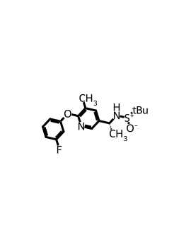 Cc1cc([C@@H](C)N[S+]([O-])C(C)(C)C)cnc1Oc1cccc(F)c1